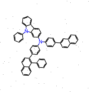 c1ccc(-c2c(-c3ccc(N(c4ccc(-c5ccc6ccccc6c5)cc4)c4ccc5c6ccccc6n(-c6ccccc6)c5c4)cc3)ccc3ccccc23)cc1